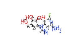 Nc1nc(F)cc2c1ncn2C1C=C(CO)C(O)C1O